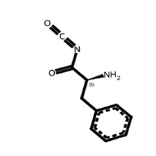 N[C@@H](Cc1ccccc1)C(=O)N=C=O